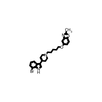 Cc1nc2cc(OCCCCCN3CC=C(c4c[nH]c5c(Br)cccc45)CC3)ccc2s1